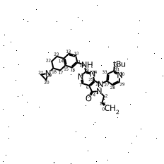 C=CCn1c(=O)c2cnc(Nc3ccc4c(c3)CC(N3CC3)CC4)nc2n1-c1ccnc(C(C)(C)C)c1